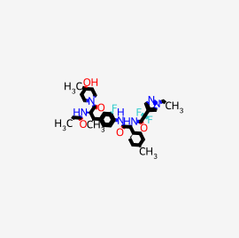 CCC(=O)N[C@@H](C(=O)N1CCC(C)(O)CC1)[C@@H](C)c1ccc(NC(=O)[C@@H](NC(=O)C(F)(F)c2cnn(CC)c2)[C@H]2CC[C@H](C)CC2)c(F)c1